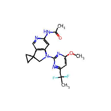 COc1cc(C(C)(F)F)nc(N2CC3(CC3)c3cnc(NC(C)=O)cc32)n1